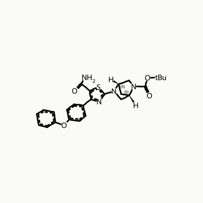 CC(C)(C)OC(=O)N1C[C@@H]2C[C@H]1CN2c1nc(-c2ccc(Oc3ccccc3)cc2)c(C(N)=O)s1